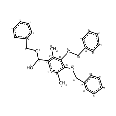 Cc1nc(C(O)OCc2ccccc2)c(C)c(OCc2ccccc2)c1OCc1ccccc1